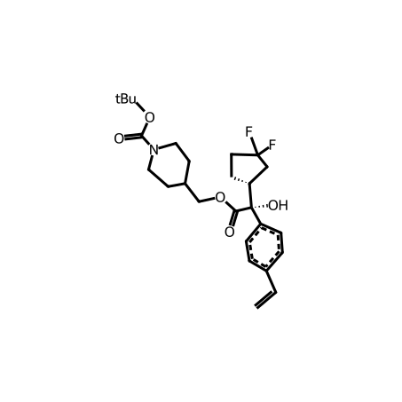 C=Cc1ccc([C@@](O)(C(=O)OCC2CCN(C(=O)OC(C)(C)C)CC2)[C@@H]2CCC(F)(F)C2)cc1